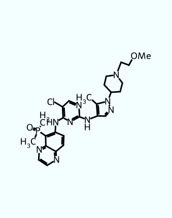 COCCN1CCC(n2ncc(Nc3ncc(Cl)c(Nc4ccc5nccnc5c4P(C)(C)=O)n3)c2C)CC1